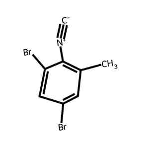 [C-]#[N+]c1c(C)cc(Br)cc1Br